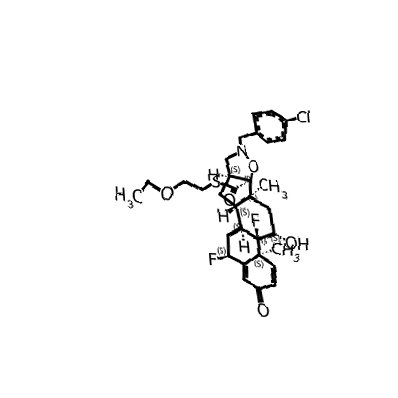 CCOCCSC(=O)[C@@]12ON(Cc3ccc(Cl)cc3)C[C@@H]1C[C@H]1[C@@H]3C[C@H](F)C4=CC(=O)C=C[C@]4(C)[C@@]3(F)[C@@H](O)C[C@@]12C